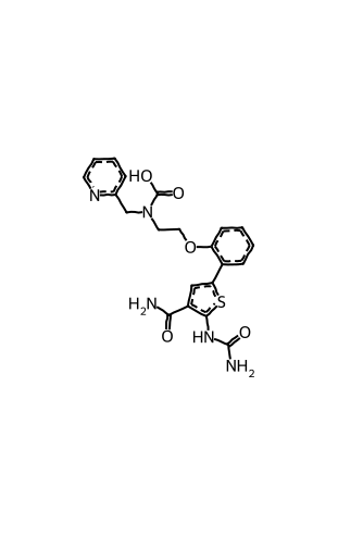 NC(=O)Nc1sc(-c2ccccc2OCCN(Cc2ccccn2)C(=O)O)cc1C(N)=O